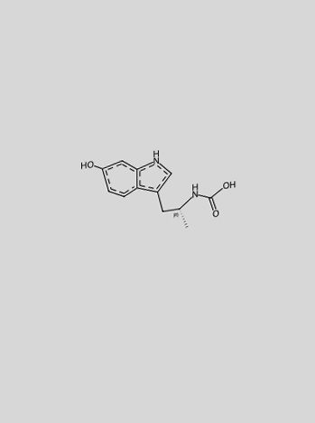 C[C@H](Cc1c[nH]c2cc(O)ccc12)NC(=O)O